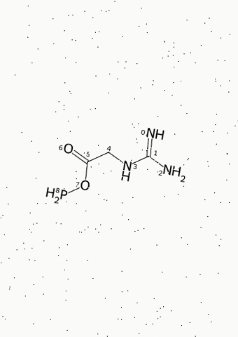 N=C(N)NCC(=O)OP